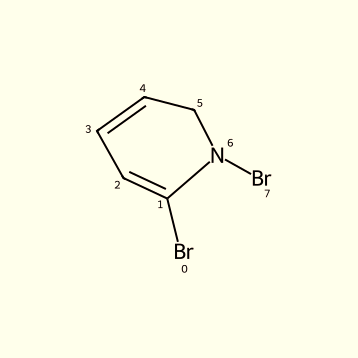 BrC1=CC=CCN1Br